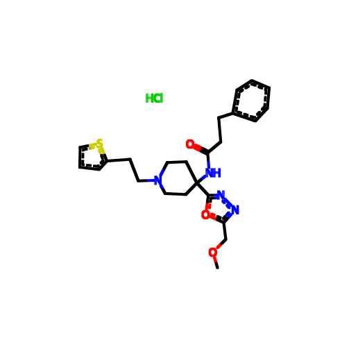 COCc1nnc(C2(NC(=O)CCc3ccccc3)CCN(CCc3cccs3)CC2)o1.Cl